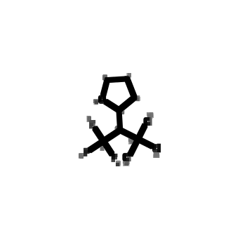 FC(F)(F)C(C1CCCO1)C(Cl)(Cl)Cl